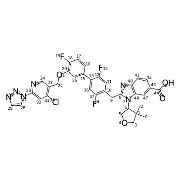 CC1(C)COCC1n1c(Cc2cc(F)c(-c3ccc(F)c(OCc4cnc(-n5ccnn5)cc4Cl)c3)cc2F)nc2ccc(C(=O)O)cc21